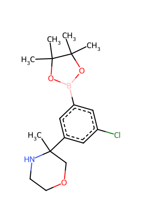 CC1(c2cc(Cl)cc(B3OC(C)(C)C(C)(C)O3)c2)COCCN1